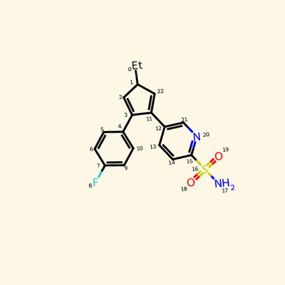 CCC1C=C(c2ccc(F)cc2)C(c2ccc(S(N)(=O)=O)nc2)=C1